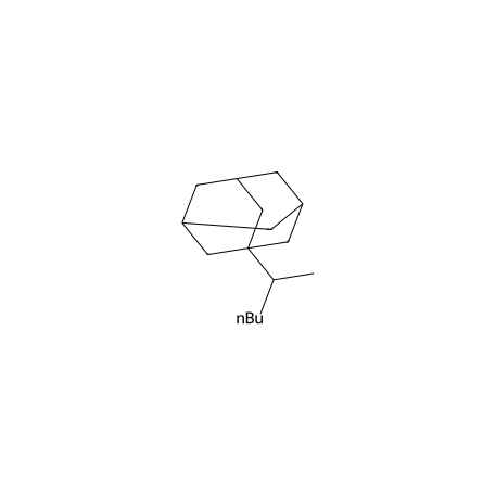 CCCCC(C)C12CC3CC(CC(C3)C1)C2